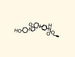 C#CCOC(=O)Nc1ccc(N2CCCC3(CCN([C@H]4CC[C@H](O)CC4)C3=O)C2)cc1